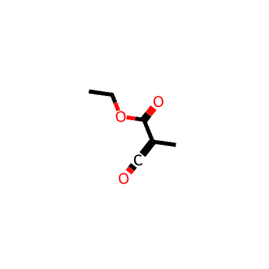 CCOC(=O)C(C)=C=O